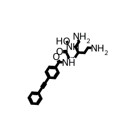 NCCC(CCN)C[C@H](NC(=O)c1ccc(C#Cc2ccccc2)cc1)C(=O)NO